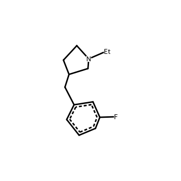 CCN1CCC(Cc2cccc(F)c2)C1